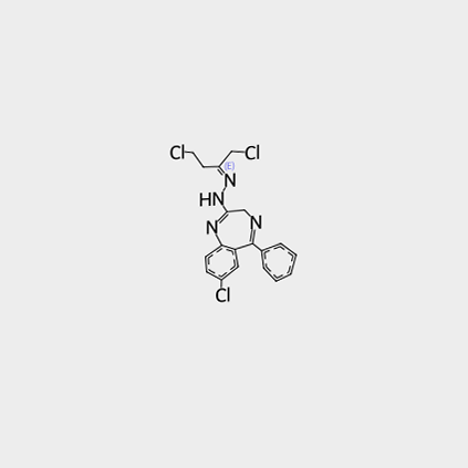 ClCC/C(CCl)=N\NC1=Nc2ccc(Cl)cc2C(c2ccccc2)=NC1